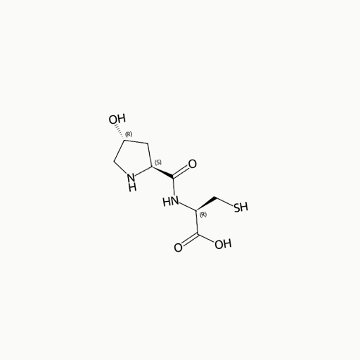 O=C(O)[C@H](CS)NC(=O)[C@@H]1C[C@@H](O)CN1